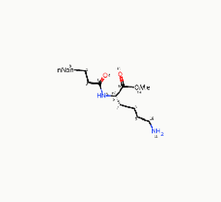 CCCCCCCCCCCC(=O)N[C@@H](CCCCN)C(=O)OC